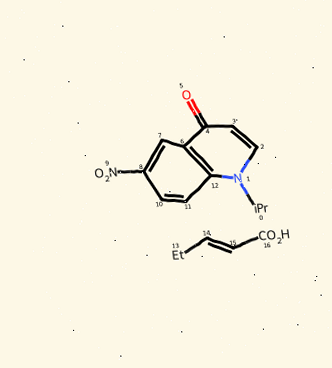 CC(C)n1ccc(=O)c2cc([N+](=O)[O-])ccc21.CCC=CC(=O)O